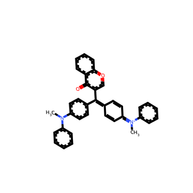 CN(c1ccccc1)c1ccc(C(=C2C=CC(=[N+](C)c3ccccc3)C=C2)c2coc3ccccc3c2=O)cc1